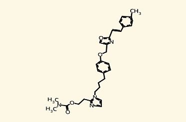 Cc1ccc(/C=C/c2nc(COc3ccc(CCCCn4ccnc4CCOC(=O)N(C)C)cc3)co2)cc1